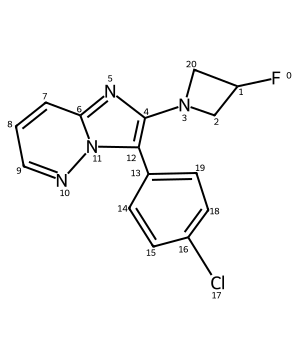 FC1CN(c2nc3cccnn3c2-c2ccc(Cl)cc2)C1